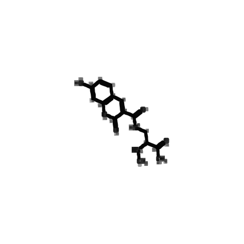 CNC(CNC(=O)c1cc2ccc(O)cc2oc1=O)C(C)=O